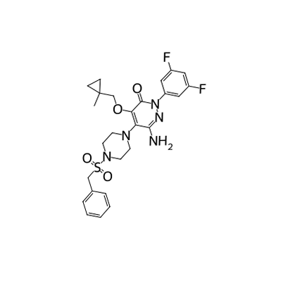 CC1(COc2c(N3CCN(S(=O)(=O)Cc4ccccc4)CC3)c(N)nn(-c3cc(F)cc(F)c3)c2=O)CC1